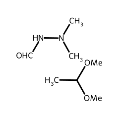 CN(C)NC=O.COC(C)OC